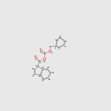 O=C(OCc1ccccc1)OC(=O)C1C=Cc2ccccc21